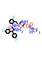 C[C@@H]1O[C@H](CCc2c(F)cccc2NC(=O)C(N)C(c2ccc(F)cc2)c2ccc(F)cc2)CN[C@@H]1COC(=O)NCC(F)(F)F